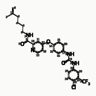 C=C(C)CCCCNC(=O)c1cc(Oc2ccc(NC(=O)Nc3ccc(Cl)c(C(F)(F)F)c3)cc2)ccn1